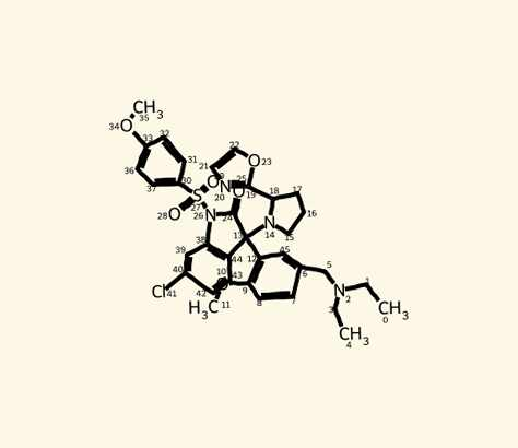 CCN(CC)Cc1ccc(OC)c(C2(N3CCCC3c3ncco3)C(=O)N(S(=O)(=O)c3ccc(OC)cc3)c3cc(Cl)ccc32)c1